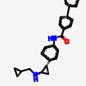 O=C(Nc1ccc([C@@H]2C[C@H]2NCC2CC2)cc1)c1ccc(-c2ccccc2)cc1